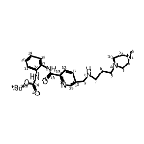 CN1CCN(CCCNCc2ccc(C(=O)Nc3ccccc3NC(=O)OC(C)(C)C)nc2)CC1